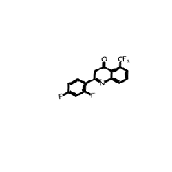 O=C1CC(c2ccc(F)cc2F)=Nc2cccc(C(F)(F)F)c21